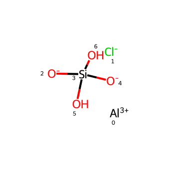 [Al+3].[Cl-].[O-][Si]([O-])(O)O